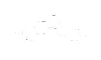 CC(Nc1ncc2ncnc(Nc3ccc(F)c(Cl)c3)c2n1)C(N)=O